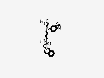 CCCN(CCCCNC(=O)ON1CCc2ccccc2C1)C1CCc2ncsc2C1